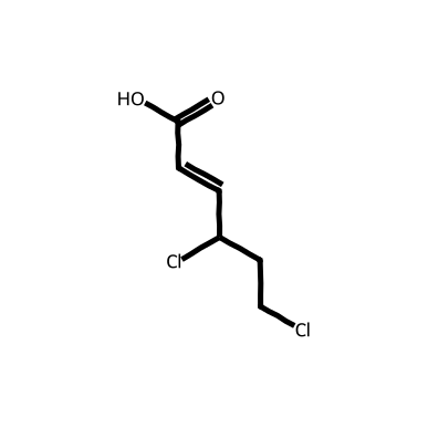 O=C(O)C=CC(Cl)CCCl